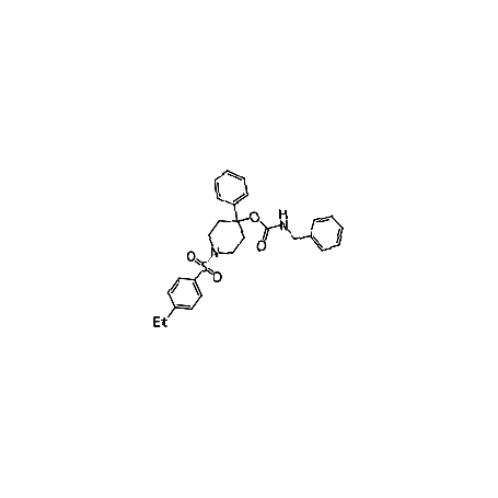 CCc1ccc(S(=O)(=O)N2CCC(OC(=O)NCc3ccccc3)(c3ccccc3)CC2)cc1